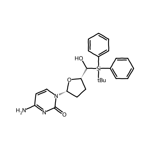 CC(C)(C)[Si](c1ccccc1)(c1ccccc1)C(O)[C@@H]1CC[C@H](n2ccc(N)nc2=O)O1